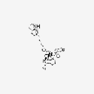 Cn1nc(C2CC2)c2cccc(C(C(=O)OC(C)(C)C)N3CC(OCCCCCc4ccc5c(n4)NCCC5)C3)c21